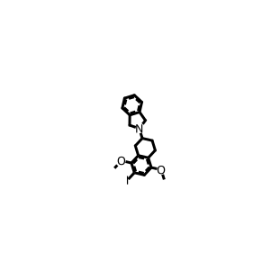 COc1cc(I)c(OC)c2c1CCC(N1Cc3ccccc3C1)C2